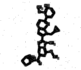 COc1c(O)cccc1-c1ccc2cc(-c3nc4cc(C(=O)N5CC6CCC5[C@@H]6N)cc(OC)c4n3C)n(CC3CC3)c2n1